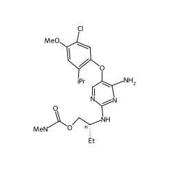 CC[C@H](COC(=O)NC)Nc1ncc(Oc2cc(Cl)c(OC)cc2C(C)C)c(N)n1